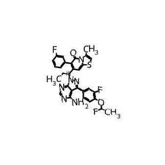 CC[C@@H](c1cc2scc(C)n2c(=O)c1-c1cccc(F)c1)n1nc(-c2ccc(OC(C)F)c(F)c2)c2c(N)ncnc21